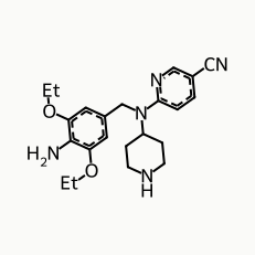 CCOc1cc(CN(c2ccc(C#N)cn2)C2CCNCC2)cc(OCC)c1N